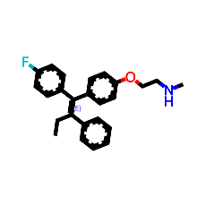 CC/C(=C(\c1ccc(F)cc1)c1ccc(OCCNC)cc1)c1ccccc1